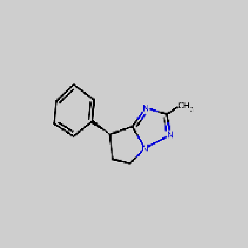 Cc1nc2n(n1)CC[C@H]2c1ccccc1